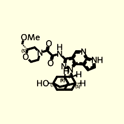 COC[C@@H]1CN(C(=O)C(=O)Nc2nn([C@H]3[C@@H]4CC5C[C@H]3C[C@@](O)(C5)C4)c3c2cnc2[nH]ccc23)CCO1